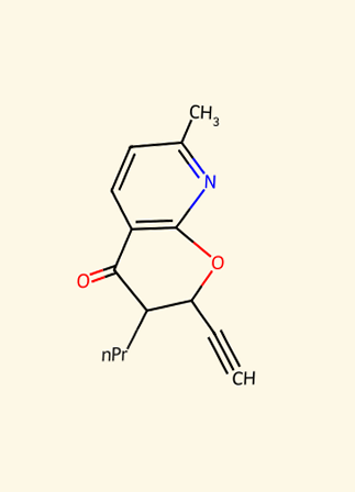 C#CC1Oc2nc(C)ccc2C(=O)C1CCC